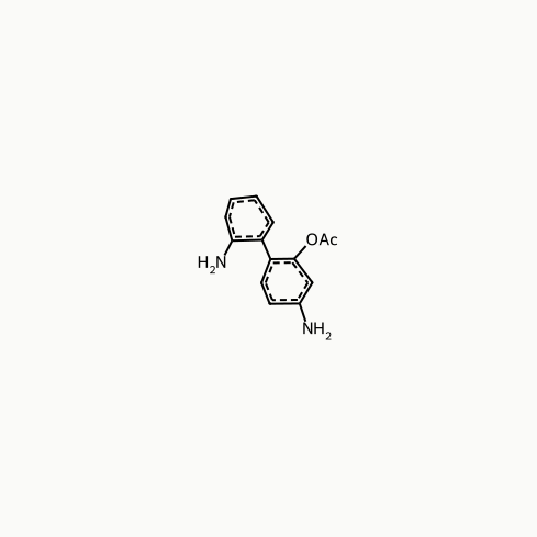 CC(=O)Oc1cc(N)ccc1-c1ccccc1N